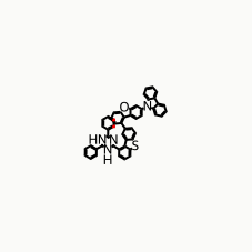 c1ccc(C2=NC(c3cccc4sc5ccc(-c6cccc7oc8cc(-n9c%10ccccc%10c%10ccccc%109)ccc8c67)cc5c34)NC(c3ccccc3)N2)cc1